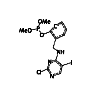 COP(OC)Oc1ccccc1CNc1nc(Cl)ncc1I